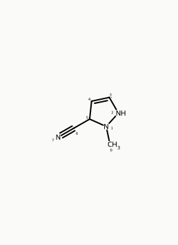 CN1N[C]=CC1C#N